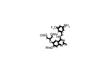 COCC(COC)Oc1cc2c(NCc3cc(N)cc(C(F)(F)F)c3)nc(C)nc2cc1OC